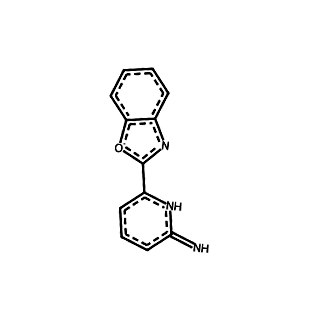 N=c1cccc(-c2nc3ccccc3o2)[nH]1